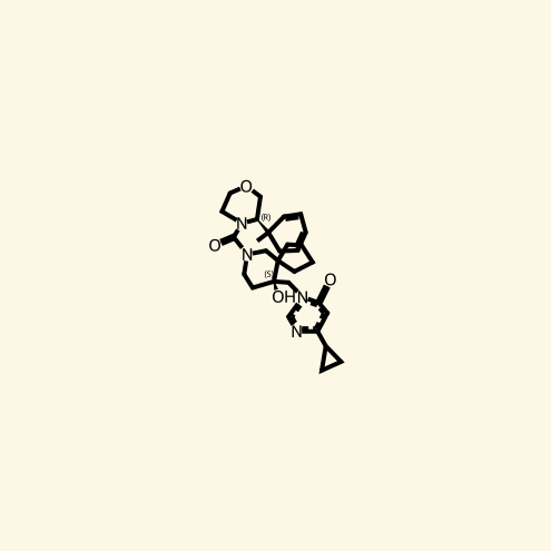 CC1([C@@H]2COCCN2C(=O)N2CC[C@@](O)(Cn3cnc(C4CC4)cc3=O)C3(CCCC3)C2)C=CC=CC1